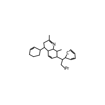 CC1=NC2C(C)C(C(CC(C)C)C3C=CC=CC3)C=CC2C(C2C=CCCC2)C1